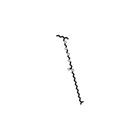 CCCCC(CC)COCCOCCOCCOCCCC(=O)OCCCCCCCCCCCCCCCC(C)C